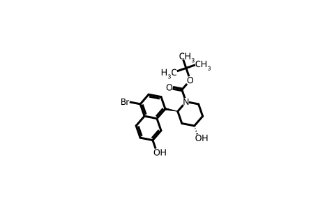 CC(C)(C)OC(=O)N1CC[C@H](O)C[C@H]1c1ccc(Br)c2ccc(O)cc12